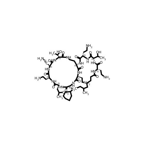 CCC(C)CCCCC(=O)N[C@@H](CCN)C(=O)N[C@H](C(=O)N[C@@H](CCN)C(=O)N[C@H]1CCNC(=O)[C@H](C(C)O)NC(=O)[C@H](CCN)NC(=O)[C@H](CCN)NC(=O)[C@H](CC(C)C)NC(=O)[C@@H](CC2CCCCC2)NC(=O)[C@H](CCN)NC1=O)C(C)O